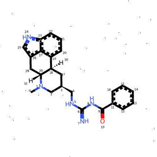 CN1C[C@H](CNC(=N)NC(=O)c2ccccc2)C[C@@H]2c3cccc4[nH]cc(c34)C[C@H]21